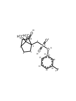 CC1(C)C2CCC1(CS(=O)(=O)O[n+]1cccc(F)c1)C(=O)C2